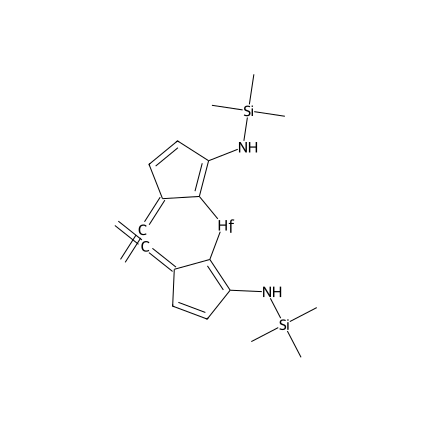 C=C=C1C=CC(N[Si](C)(C)C)=[C]1[Hf][C]1=C(N[Si](C)(C)C)C=CC1=C=C